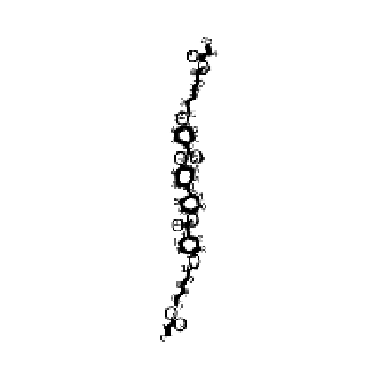 C=CC(=O)OCCCCCCOc1ccc(C(=O)OC2CCC(C3CCC(OC(=O)c4ccc(OCCCCCCOC(=O)C=C)cc4)CC3)CC2)cc1